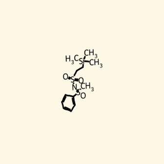 C[Si](C)(C)CCS(=O)(=O)N=S(C)(=O)c1ccccc1